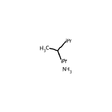 CC(C)C(C)C(C)C.N